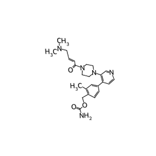 Cc1cc(-c2ccncc2N2CCN(C(=O)C=CCN(C)C)CC2)ccc1COC(N)=O